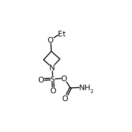 CCOC1CN(S(=O)(=O)OC(N)=O)C1